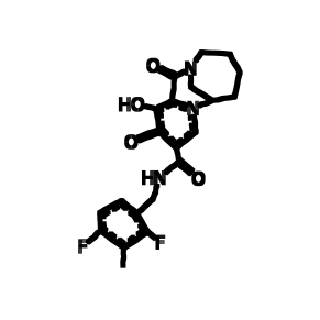 Cc1c(F)ccc(CNC(=O)c2cn3c(c(O)c2=O)C(=O)N2CCCCC3C2)c1F